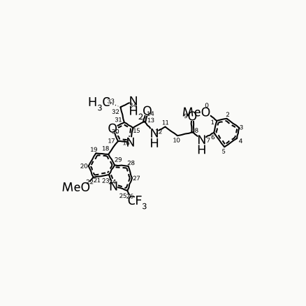 COc1ccccc1NC(=O)CCNC(=O)c1nc(-c2ccc(OC)c3nc(C(F)(F)F)ccc23)oc1[C@H](C)N